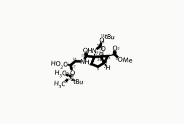 COC(=O)[C@H]1[C@@H]2CC[C@@](NC(=O)OC(C)(C)C)(C(=O)NC[C@@H](O[Si](C)(C)C(C)(C)C)C(=O)O)[C@@H]21